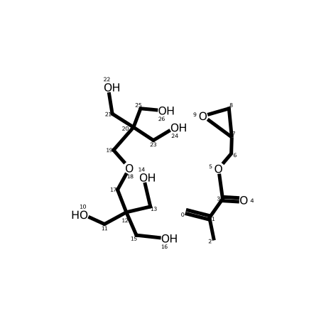 C=C(C)C(=O)OCC1CO1.OCC(CO)(CO)COCC(CO)(CO)CO